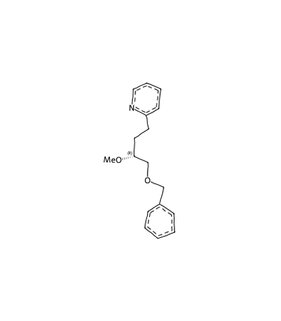 CO[C@H](CCc1ccccn1)COCc1ccccc1